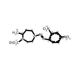 CCOC(=O)N1CCN(N=Nc2ccc([N+](=O)[O-])cc2[N+](=O)[O-])CCC1C